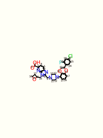 O=C(O)c1ccc2nc(CN3CCN(c4cccc5c4OCC(c4ccc(Cl)cc4F)O5)CC3)n(CC3CCO3)c2n1